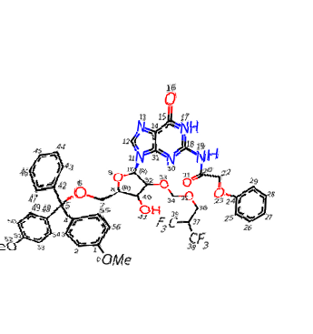 COc1ccc(C(OC[C@H]2O[C@@H](n3cnc4c(=O)[nH]c(NC(=O)COc5ccccc5)nc43)C(OCOCC(C(F)(F)F)C(F)(F)F)C2O)(c2ccccc2)c2ccc(OC)cc2)cc1